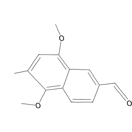 COc1cc(C)c(OC)c2ccc(C=O)cc12